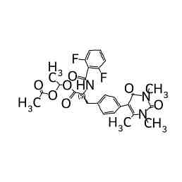 CC(=O)OC(C)OC(=O)[C@H](Cc1ccc(-c2c(C)n(C)c(=O)n(C)c2=O)cc1)NC(=O)c1c(F)cccc1F